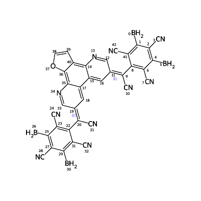 Bc1c(C#N)c(B)c(C#N)c(/C(C#N)=c2\cnc3c(c2)c2c/c(=C(\C#N)c4c(C#N)c(B)c(C#N)c(B)c4C#N)cnc2c2occc32)c1C#N